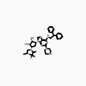 CCCN(C(=O)C(F)(F)F)[C@H]1C[C@@H](n2cnc3c(NCC(c4ccccc4)c4ccccc4)nc(N4CCNCC4)nc32)[C@H](O)[C@@H]1O